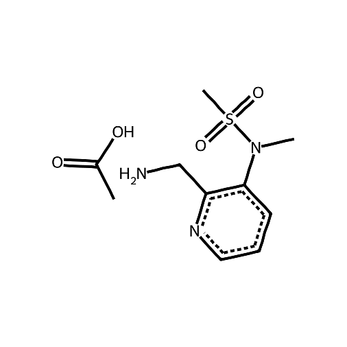 CC(=O)O.CN(c1cccnc1CN)S(C)(=O)=O